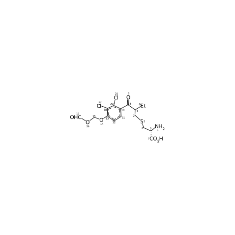 CCC(CSC[C@H](N)C(=O)O)C(=O)c1ccc(OCOC=O)c(Cl)c1Cl